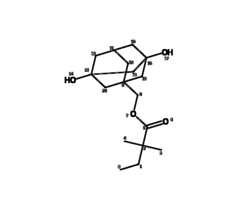 CCC(C)(C)C(=O)OCC12CC3CC(O)(CC(O)(C3)C1)C2